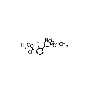 CCOC(=O)CC(CN)c1cccc(C(=O)OC)c1F